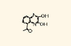 CC(=O)c1cccc2nc(O)c(O)nc12